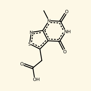 Cn1c(=O)[nH]c(=O)c2c(CC(=O)O)snc21